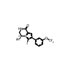 CC(C)[C@H]1CNC(=O)c2cc(-c3cccc(OC(F)(F)F)c3)c(I)n21